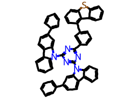 c1ccc(-c2ccc3c4ccccc4n(-c4nc(-c5cccc(-c6cccc7sc8ccccc8c67)c5)nc(-n5c6ccccc6c6ccc(-c7ccccc7)cc65)n4)c3c2)cc1